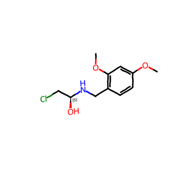 COc1ccc(CN[C@@H](O)CCl)c(OC)c1